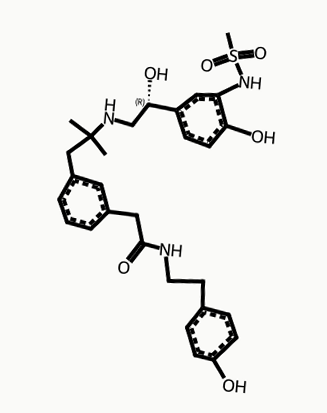 CC(C)(Cc1cccc(CC(=O)NCCc2ccc(O)cc2)c1)NC[C@H](O)c1ccc(O)c(NS(C)(=O)=O)c1